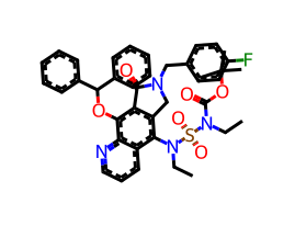 CCN(C(=O)OC(C)(C)C)S(=O)(=O)N(CC)c1c2c(c(OC(c3ccccc3)c3ccccc3)c3ncccc13)C(=O)N(Cc1ccc(F)cc1)C2